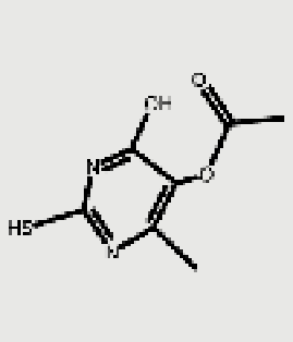 CC(=O)Oc1c(C)nc(S)nc1O